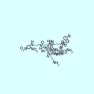 CCC(C)[C@H](NC(=O)[C@@H](NC(=O)[C@H](CCCCN)NC(=O)[C@@H](NC(=O)[C@H](CCC(=O)NCCCCNc1ccc([N+](=O)[O-])cc1[N+](=O)[O-])NC(=O)[C@@H](N)CCCCNS(=O)(=O)c1cccc2c(N(C)C)cccc12)C(C)C)C(C)C)C(=O)NCC(N)=O